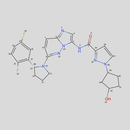 O=C(Nc1cnc2ccc(N3CCC[C@@H]3c3cc(F)ccc3F)nn12)c1ccn(C2CCC(O)C2)n1